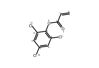 C=CC(=O)Oc1c(Cl)cc(Cl)cc1Cl